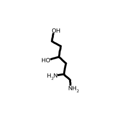 NCC(N)CC(O)CCO